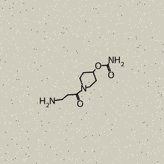 NCCC(=O)N1CCC(OC(N)=O)CC1